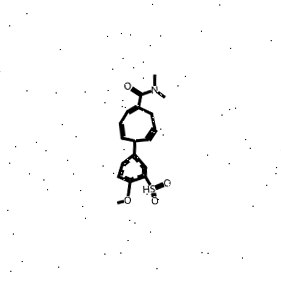 COc1ccc(C2C#CC/C(C(=O)N(C)C)=C\C=C/2)cc1[SH](=O)=O